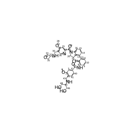 COc1cc(C(=O)Nc2cccc(-c3cccc4c3CCN4C(=O)c3cc(OC)c(CNC4COC4)cn3)c2Cl)ccc1CNC(CO)CO